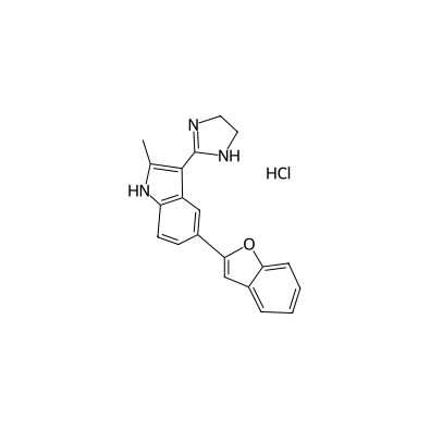 Cc1[nH]c2ccc(-c3cc4ccccc4o3)cc2c1C1=NCCN1.Cl